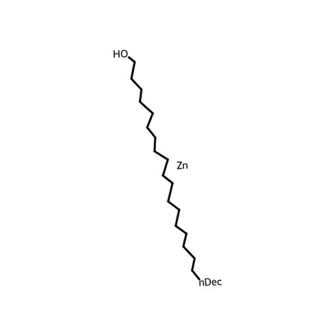 CCCCCCCCCCCCCCCCCCCCCCCCCCCCO.[Zn]